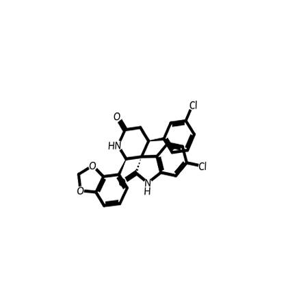 O=C1C[C@@H](c2cccc(Cl)c2)[C@]2(C(=O)Nc3cc(Cl)ccc32)[C@@H](c2cccc3c2OCO3)N1